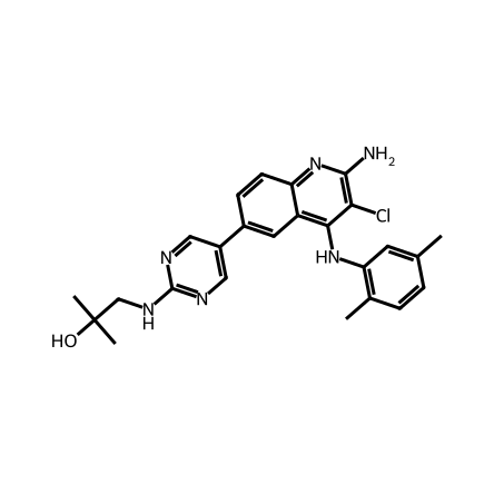 Cc1ccc(C)c(Nc2c(Cl)c(N)nc3ccc(-c4cnc(NCC(C)(C)O)nc4)cc23)c1